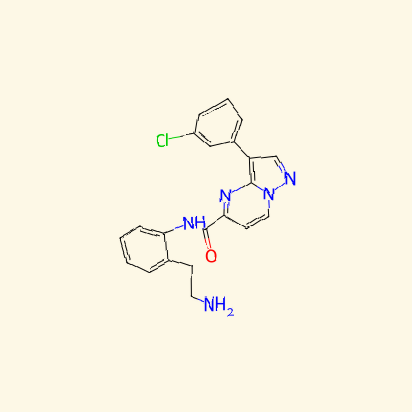 NCCc1ccccc1NC(=O)c1ccn2ncc(-c3cccc(Cl)c3)c2n1